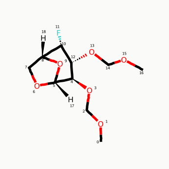 COCO[C@H]1[C@@H]2OC[C@@H](O2)[C@H](F)[C@@H]1OCOC